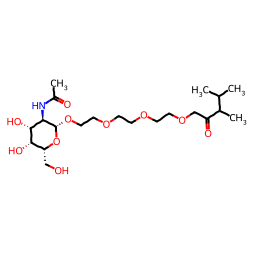 CC(=O)N[C@H]1[C@H](OCCOCCOCCOCC(=O)C(C)C(C)C)O[C@H](CO)[C@H](O)[C@@H]1O